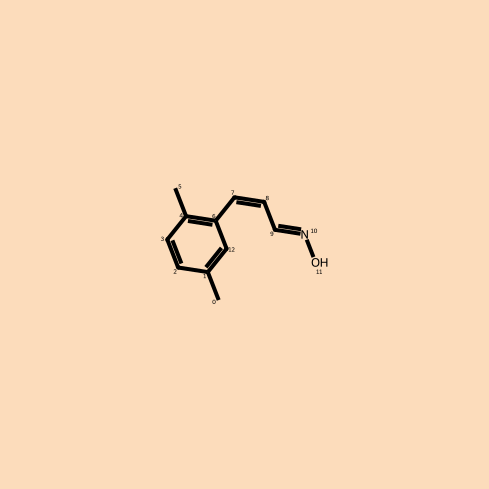 Cc1ccc(C)c(/C=C\C=N\O)c1